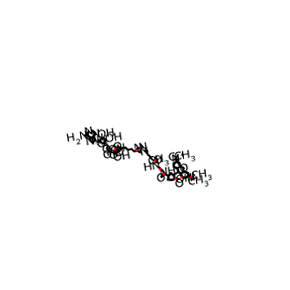 CN(C)c1ccc2c(-c3cc(C(=O)NCCNC(=O)OCCCn4cc(CCCCC(=O)OP(=O)(O)OP(=O)(O)OC[C@H]5O[C@@H](n6cnc7c(N)ncnc76)[C@@H](O)C5O)nn4)ccc3C(=O)O)c3ccc(=[N+](C)C)cc-3oc2c1